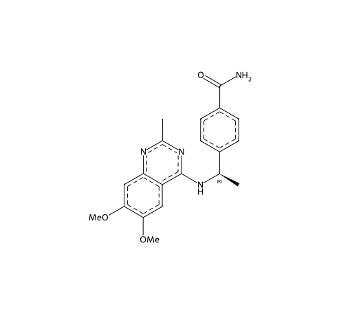 COc1cc2nc(C)nc(N[C@H](C)c3ccc(C(N)=O)cc3)c2cc1OC